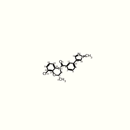 C[C@H]1CN(C(=O)c2cccc(-c3cnn(C)c3)c2)c2cccc(Cl)c2O1